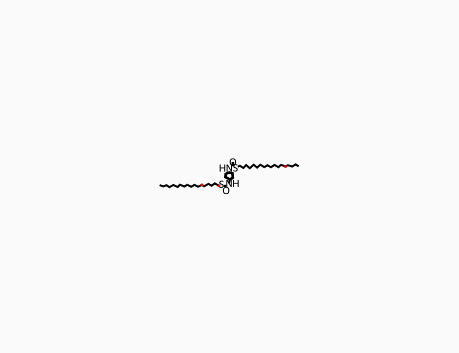 CCCCCCCCCCCCCCCCCCSC(=O)Nc1ccc(NC(=O)SCCCCCCCCCCCCCCCCCC)cc1